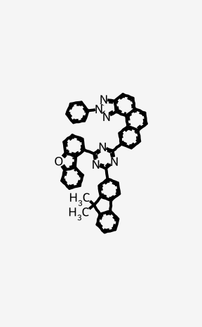 CC1(C)c2ccccc2-c2ccc(-c3nc(-c4ccc5ccc6ccc7nn(-c8ccccc8)nc7c6c5c4)nc(-c4cccc5oc6ccccc6c45)n3)cc21